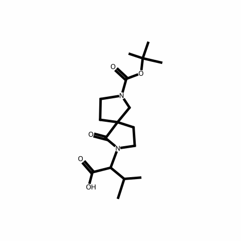 CC(C)C(C(=O)O)N1CCC2(CCN(C(=O)OC(C)(C)C)C2)C1=O